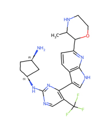 CC1NCCOC1c1ccc2c(-c3nc(N[C@H]4CC[C@@H](N)C4)ncc3C(F)(F)F)c[nH]c2n1